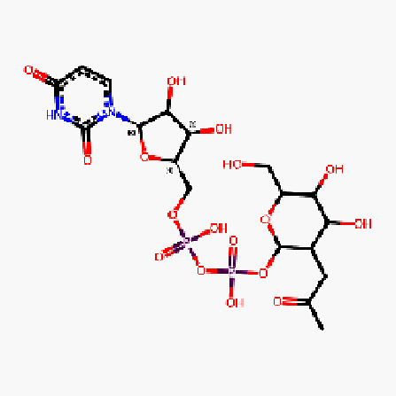 CC(=O)CC1C(OP(=O)(O)OP(=O)(O)OC[C@H]2O[C@@H](n3ccc(=O)[nH]c3=O)C(O)[C@H]2O)OC(CO)C(O)C1O